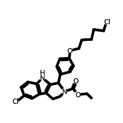 CCOC(=O)N1CCc2c([nH]c3ccc(Cl)cc23)C1c1ccc(OCCCCCCl)cc1